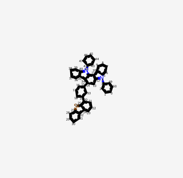 c1ccc(-n2c3ccccc3c3c2cc(-c2cccc(-c4cccc5c4sc4ccccc45)c2)c2c4ccccc4n(-c4ccccc4)c23)cc1